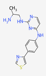 CC(N)CNc1nccc(Nc2ccc(-c3cscn3)cc2)n1